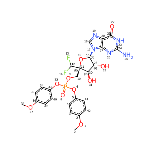 COc1ccc(OP(=O)(OC[C@@]2(C(F)F)O[C@@H](n3cnc4c(=O)[nH]c(N)nc43)[C@H](O)[C@H]2O)Oc2ccc(OC)cc2)cc1